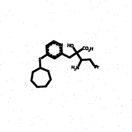 CC(C)CC(N)C(O)(Cc1cc(SC2CCCCCC2)ccn1)C(=O)O